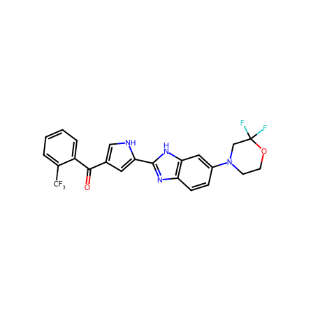 O=C(c1c[nH]c(-c2nc3ccc(N4CCOC(F)(F)C4)cc3[nH]2)c1)c1ccccc1C(F)(F)F